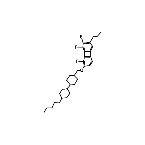 CCCCCC1CCC(C2CCC(COc3ccc4c(c3F)-c3c-4cc(CCC)c(F)c3F)CC2)CC1